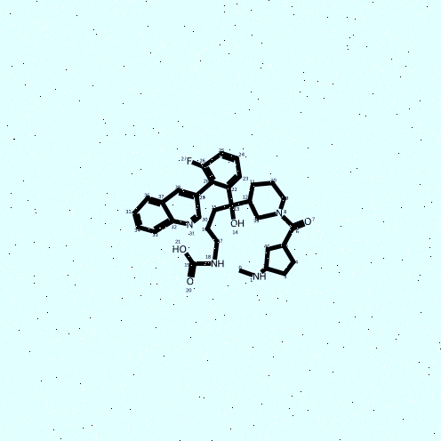 CNC1CCC(C(=O)N2CCCC(C(O)(CCCNC(=O)O)c3cccc(F)c3-c3cnc4ccccc4c3)C2)C1